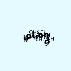 CN(CC(=O)N1CCc2ncncc2C1)Cc1ccc(-c2nc(NC3CCOCC3)ncc2Cl)cc1C=O